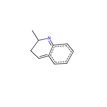 CC1CC=c2ccccc2=N1